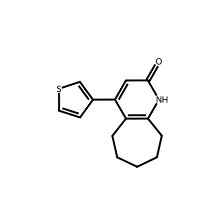 O=c1cc(-c2ccsc2)c2c([nH]1)CCCCC2